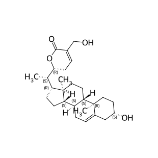 C[C@@H]([C@H]1CC[C@H]2[C@@H]3CC=C4C[C@@H](O)CC[C@]4(C)[C@H]3CC[C@]12C)[C@H]1CC=C(CO)C(=O)O1